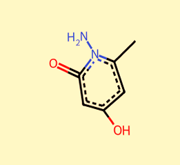 Cc1cc(O)cc(=O)n1N